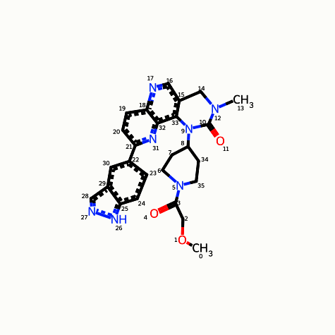 COCC(=O)N1CCC(N2C(=O)N(C)Cc3cnc4ccc(-c5ccc6[nH]ncc6c5)nc4c32)CC1